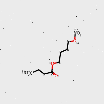 O=C(O)CCC(=O)OCCCCO[N+](=O)[O-]